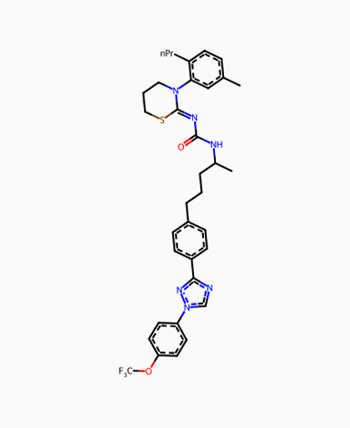 CCCc1ccc(C)cc1N1CCCS/C1=N\C(=O)NC(C)CCCc1ccc(-c2ncn(-c3ccc(OC(F)(F)F)cc3)n2)cc1